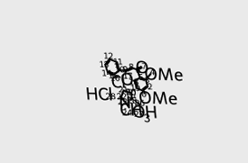 COc1cc(OC)c2c(=O)cc(-c3ccccc3Cl)oc2c1[C@H]1CCN(C)[C@@H]1CO.Cl